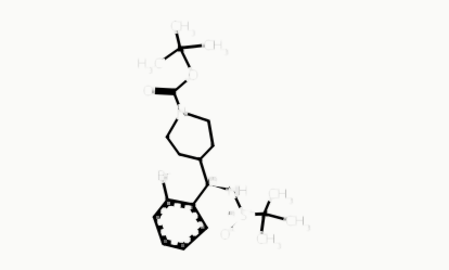 CC(C)(C)OC(=O)N1CCC([C@@H](N[S@@+]([O-])C(C)(C)C)c2ccccc2Br)CC1